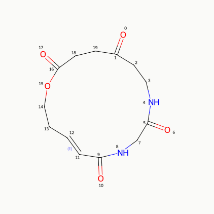 O=C1CCNC(=O)CNC(=O)/C=C/CCOC(=O)CC1